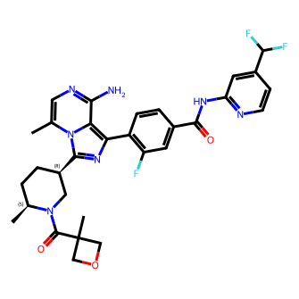 Cc1cnc(N)c2c(-c3ccc(C(=O)Nc4cc(C(F)F)ccn4)cc3F)nc([C@@H]3CC[C@H](C)N(C(=O)C4(C)COC4)C3)n12